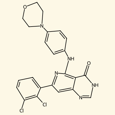 O=c1[nH]cnc2cc(-c3cccc(Cl)c3Cl)nc(Nc3ccc(N4CCOCC4)cc3)c12